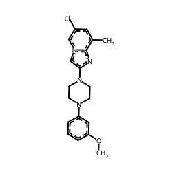 COc1cccc(N2CCN(c3cn4cc(Cl)cc(C)c4n3)CC2)c1